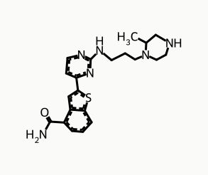 CC1CNCCN1CCCNc1nccc(-c2cc3c(C(N)=O)cccc3s2)n1